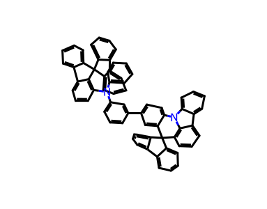 c1ccc(N(c2cccc(-c3ccc4c(c3)C3(c5ccccc5-c5ccccc53)c3cccc5c6ccccc6n-4c35)c2)c2cccc3c2C2(c4ccccc4-c4ccccc42)c2ccccc2-3)cc1